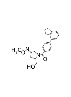 CO/N=C1\C[C@@H](CO)N(C(=O)c2ccc(-c3cccc4c3CCC4)cc2)C1